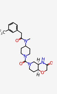 CN(C(=O)Cc1cccc(C(F)(F)F)c1)C1CCN(C(=O)N2CC[C@@H]3OCC(=O)N[C@@H]3C2)CC1